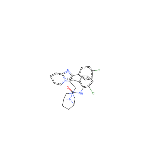 Cc1cccc(Cl)c1NC(=O)N1C2CCC1CN(Cc1c(-c3ccc(Cl)cc3)nc3ccccn13)C2